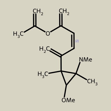 C=C(C)OC(=C)/C=C\C(=C)C1(C)C(OC)C1(C)NC